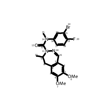 COc1cc2c(cc1OC)CC(C)N(C(=O)N(C)c1ccc(F)c(Br)c1)N=C2